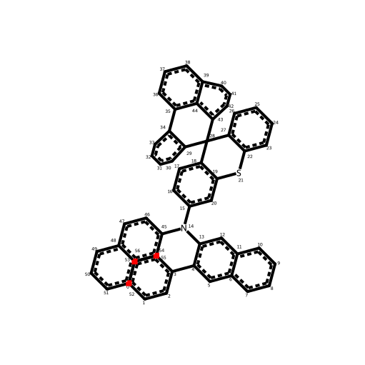 c1ccc(-c2cc3ccccc3cc2N(c2ccc3c(c2)Sc2ccccc2C32c3ccccc3-c3cccc4cccc2c34)c2ccc3ccccc3c2)cc1